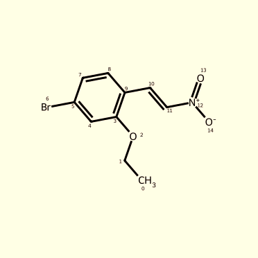 CCOc1cc(Br)ccc1/C=C/[N+](=O)[O-]